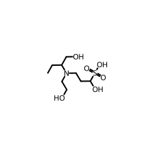 CCC(CO)N(CCO)CCC(O)S(=O)(=O)O